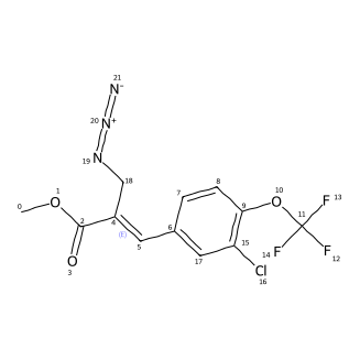 COC(=O)/C(=C/c1ccc(OC(F)(F)F)c(Cl)c1)CN=[N+]=[N-]